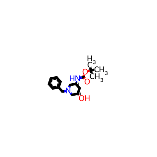 CC(C)(C)OC(=O)N[C@H]1C[C@@H](O)CN(Cc2ccccc2)C1